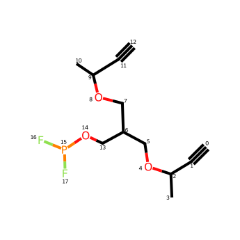 C#CC(C)OCC(COC(C)C#C)COP(F)F